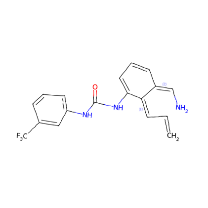 C=C/C=c1/c(NC(=O)Nc2cccc(C(F)(F)F)c2)ccc/c1=C/N